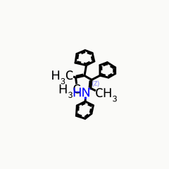 CC(C)=C(/C(=C(/C)Nc1ccccc1)c1ccccc1)c1ccccc1